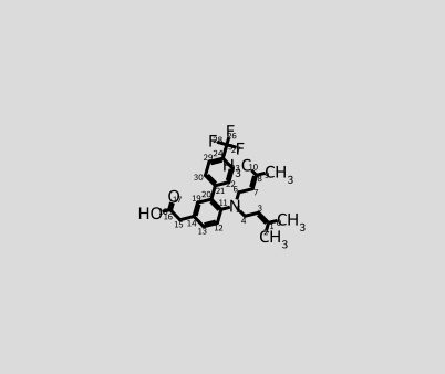 CC(C)=CCN(CC=C(C)C)c1ccc(CC(=O)O)cc1-c1ccc(C(F)(F)F)cc1